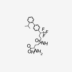 CC(C)c1ccccc1-c1ccc(C(CCS(=N)(=O)CC[C@H](N)C(=O)O)C(F)(F)F)cc1